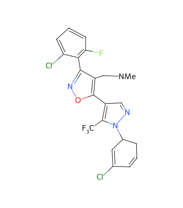 CNCc1c(-c2c(F)cccc2Cl)noc1-c1cnn(C2C=C(Cl)C=CC2)c1C(F)(F)F